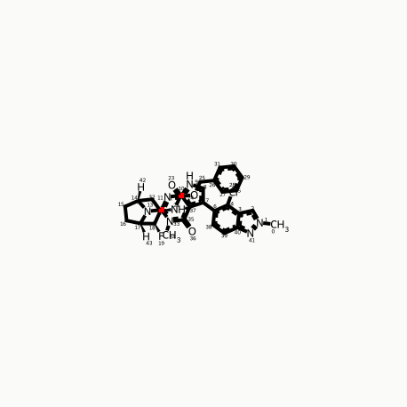 Cn1cc2c(Cl)c(-c3c[nH]c4nc(N5[C@@H]6CC[C@H]5[C@H](F)[C@H](NC(=O)OCc5ccccc5)C6)n(C)c(=O)c34)ccc2n1